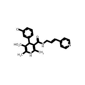 CC1=C(C(=O)O)C(c2cccc(Cl)c2)C(C(=O)NC/C=C/c2ccncc2)=C(C)N1